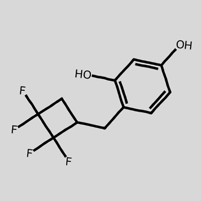 Oc1ccc(CC2CC(F)(F)C2(F)F)c(O)c1